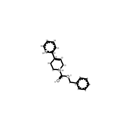 O=C(OCc1ccccc1)N1CC=C(c2ccccn2)CC1